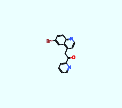 O=C(Cc1ccnc2ccc(Br)cc12)c1ccccn1